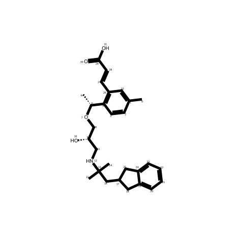 Cc1ccc([C@@H](C)OC[C@@H](O)CNC(C)(C)CC2Cc3ccccc3C2)c(/C=C/C(=O)O)c1